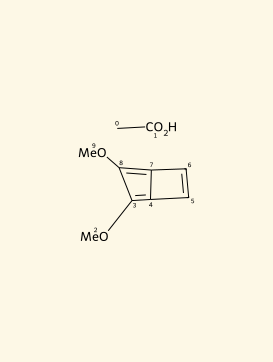 CC(=O)O.COc1c2ccc-2c1OC